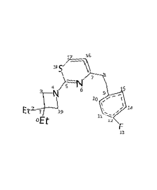 CCC1(CC)CN(C2=NC(Cc3ccc(F)cc3)=C=CS2)C1